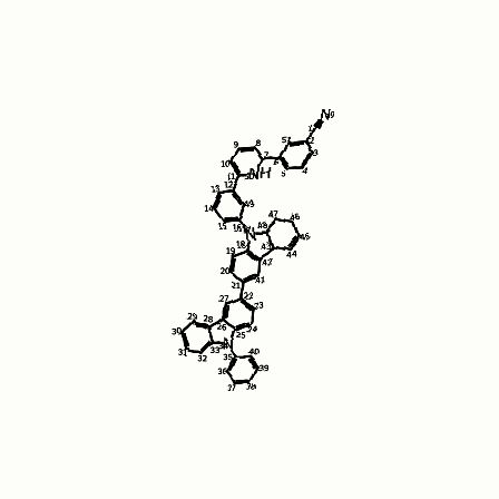 N#Cc1cccc(C2C=CC=C(c3cccc(N4c5ccc(-c6ccc7c(c6)c6ccccc6n7-c6ccccc6)cc5C5C=CCCC54)c3)N2)c1